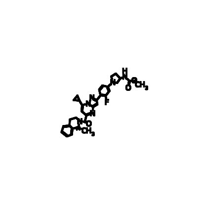 COC(=O)NC1CCN(c2ccc(-c3cc4nc(C(=O)N5CCc6ccccc6[C@H]5C)cc(C5CC5)n4n3)c(F)c2)C1